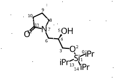 CC(C)[Si](OC[C@H](O)CN1CCCC1=O)(C(C)C)C(C)C